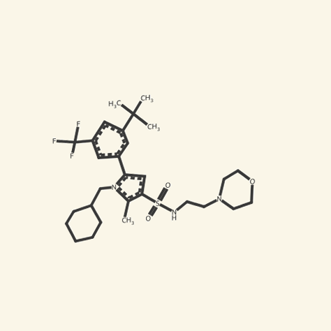 Cc1c(S(=O)(=O)NCCN2CCOCC2)cc(-c2cc(C(C)(C)C)cc(C(F)(F)F)c2)n1CC1CCCCC1